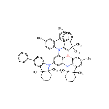 CC(C)(C)c1ccc2c(c1)C1=C(B3c4cc(C(C)(C)C)cc5c4N(c4cc(N6c7ccc(-c8ccccc8)cc7C7(C)CCCCC67C)cc(c43)N1c1ccc(C(C)(C)C)cc1-c1ccccc1)C1(C)CCCCC51C)C2(C)C